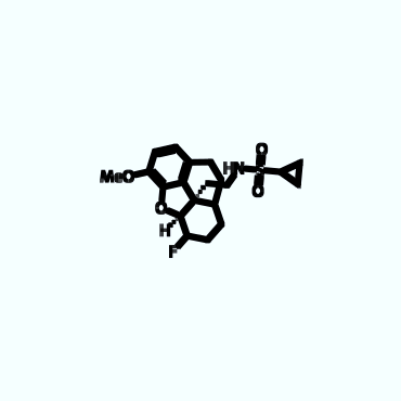 COc1ccc2c3c1O[C@@H]1C(F)CCC(CC2)[C@]31CCNS(=O)(=O)C1CC1